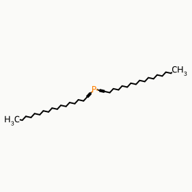 CCCCCCCCCCCCCCCCC#C[P]C#CCCCCCCCCCCCCCCCC